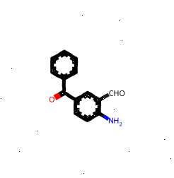 Nc1ccc(C(=O)c2ccccc2)cc1C=O